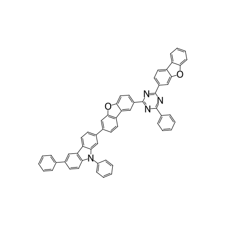 c1ccc(-c2ccc3c(c2)c2ccc(-c4ccc5c(c4)oc4ccc(-c6nc(-c7ccccc7)nc(-c7ccc8c(c7)oc7ccccc78)n6)cc45)cc2n3-c2ccccc2)cc1